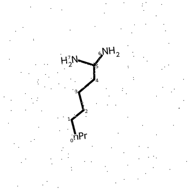 CCCCCCC[C](N)N